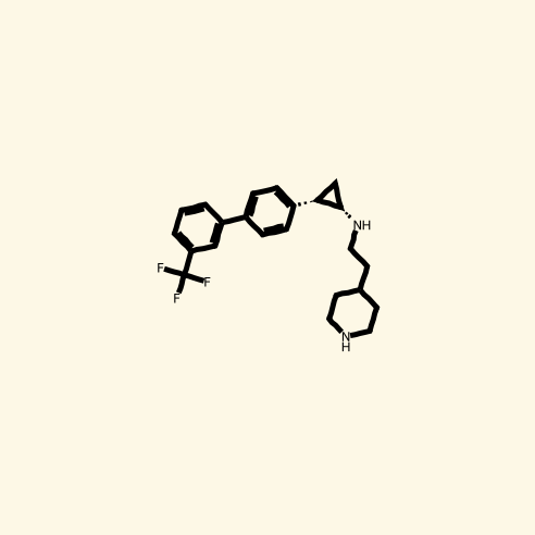 FC(F)(F)c1cccc(-c2ccc([C@@H]3C[C@@H]3NCCC3CCNCC3)cc2)c1